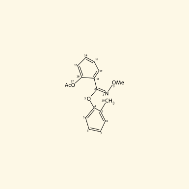 CON=C(Oc1ccccc1C)c1ccccc1OC(C)=O